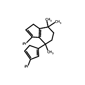 CC(C)C1=CCC(C2(C)CCC(C)(C)C3=C2C(C(C)C)=CC3)=C1